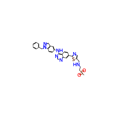 CS(=O)(=O)CCNCc1cnc(-c2ccc3c(Nc4ccc5c(cnn5Cc5ccccc5)c4)ncnc3c2)s1